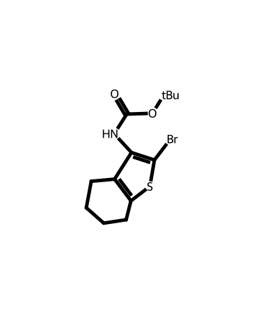 CC(C)(C)OC(=O)Nc1c(Br)sc2c1CCCC2